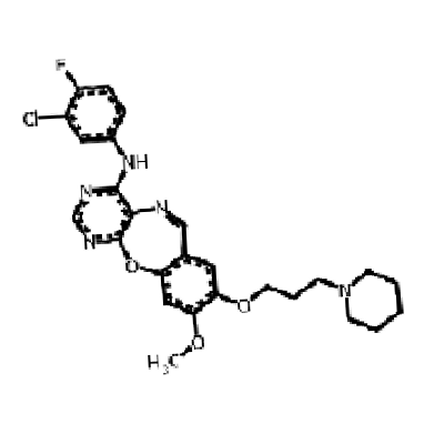 COc1cc2c(cc1OCCCN1CCCCC1)C=Nc1c(Nc3ccc(F)c(Cl)c3)ncnc1O2